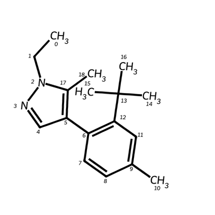 CCn1ncc(-c2ccc(C)cc2C(C)(C)C)c1C